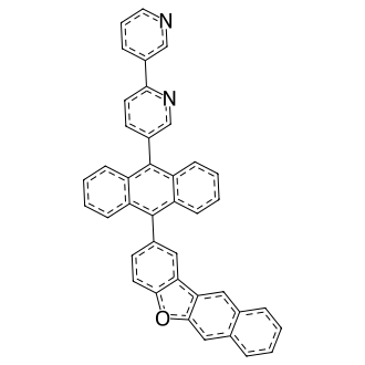 c1cncc(-c2ccc(-c3c4ccccc4c(-c4ccc5oc6cc7ccccc7cc6c5c4)c4ccccc34)cn2)c1